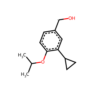 CC(C)Oc1ccc([CH]O)cc1C1CC1